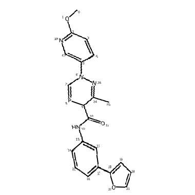 COc1ccc(N2C=PC(C(=O)Nc3cccc(-c4ccco4)c3)C(C)=N2)cn1